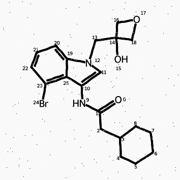 O=C(CC1CCCCC1)Nc1cn(CC2(O)COC2)c2cccc(Br)c12